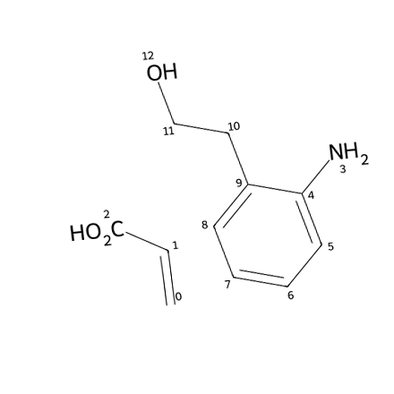 C=CC(=O)O.Nc1ccccc1CCO